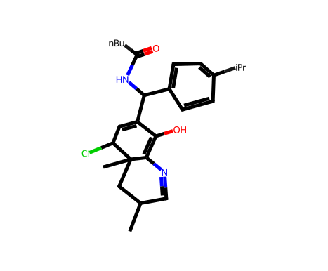 CCCCC(=O)NC(C1=CC(Cl)C2(C)CC(C)C=NC2=C1O)c1ccc(C(C)C)cc1